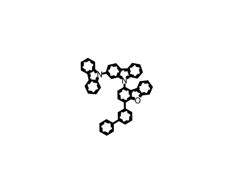 c1ccc(-c2cccc(-c3ccc(-n4c5ccccc5c5ccc(-n6c7ccccc7c7ccccc76)cc54)c4c3oc3ccccc34)c2)cc1